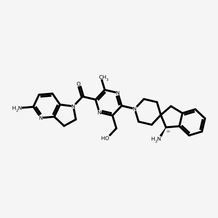 Cc1nc(N2CCC3(CC2)Cc2ccccc2[C@H]3N)c(CO)nc1C(=O)N1CCc2nc(N)ccc21